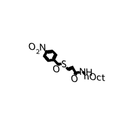 CCCCCCCCNC(=O)C=CSC(=O)c1ccc([N+](=O)[O-])cc1